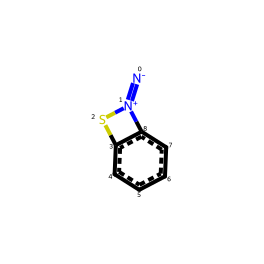 [N-]=[N+]1Sc2ccccc21